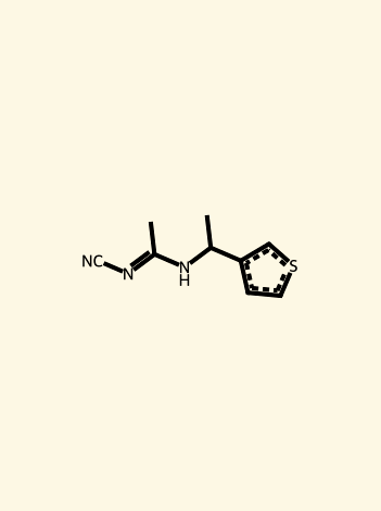 C/C(=N\C#N)NC(C)c1ccsc1